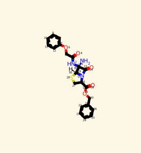 N[C@@]1(NC(=O)COc2ccccc2)C(=O)N2C(C(=O)OCc3ccccc3)CS[C@H]21